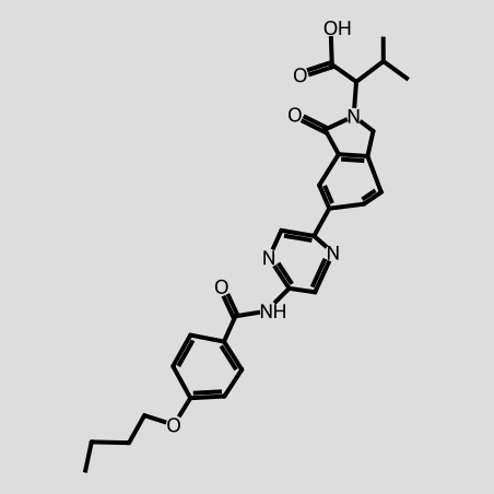 CCCCOc1ccc(C(=O)Nc2cnc(-c3ccc4c(c3)C(=O)N(C(C(=O)O)C(C)C)C4)cn2)cc1